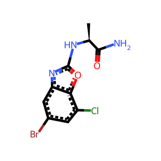 C[C@H](Nc1nc2cc(Br)cc(Cl)c2o1)C(N)=O